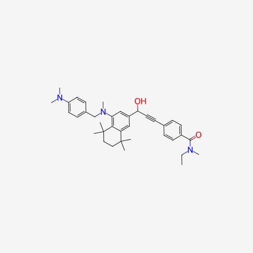 CCN(C)C(=O)c1ccc(C#CC(O)c2cc(N(C)Cc3ccc(N(C)C)cc3)c3c(c2)C(C)(C)CCC3(C)C)cc1